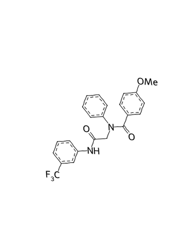 COc1ccc(C(=O)N(CC(=O)Nc2cccc(C(F)(F)F)c2)c2ccccc2)cc1